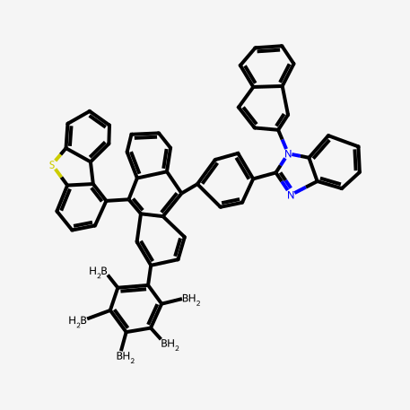 Bc1c(B)c(B)c(-c2ccc3c(-c4ccc(-c5nc6ccccc6n5-c5ccc6ccccc6c5)cc4)c4ccccc4c(-c4cccc5sc6ccccc6c45)c3c2)c(B)c1B